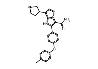 Cc1ccc(Oc2ccc(-c3[nH]c4c(C5CCNC5)cnn4c3C(N)=O)cc2)cc1